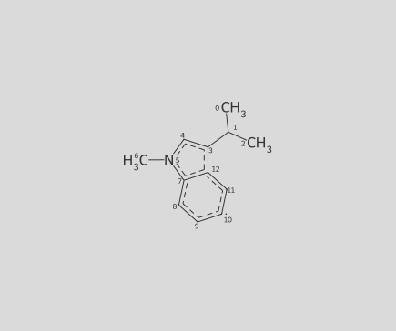 CC(C)c1cn(C)c2cc[c]cc12